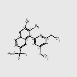 CCCCCC(C)(C)c1ccc2cc(C#N)c(C#N)c(-c3cc(CC(F)(F)F)cc(CC(F)(F)F)c3)c2c1